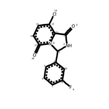 O=C1NC(c2cccc(F)c2)n2c1c(Cl)ccc2=O